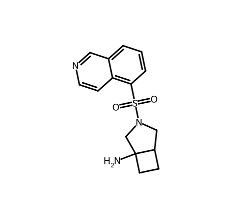 NC12CCC1CN(S(=O)(=O)c1cccc3cnccc13)C2